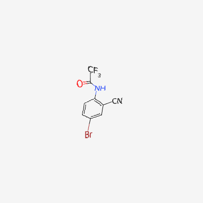 N#Cc1cc(Br)ccc1NC(=O)C(F)(F)F